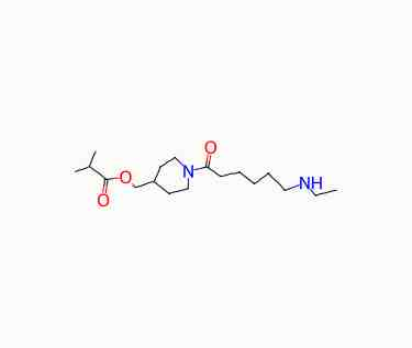 CCNCCCCCC(=O)N1CCC(COC(=O)C(C)C)CC1